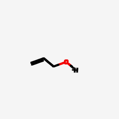 [3H]OCC=C